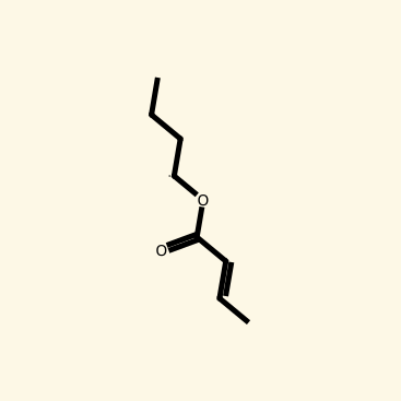 CC=CC(=O)O[CH]CCC